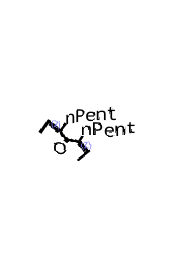 C/C=C(/CCCCC)C(=O)/C(=C\C)CCCCC